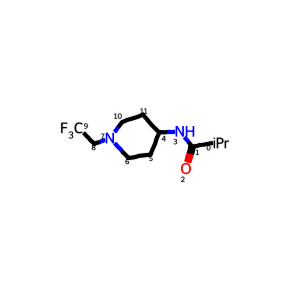 CC(C)C(=O)NC1CCN(CC(F)(F)F)CC1